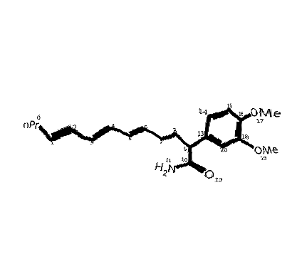 CCC/C=C/C=C/C=C/CCC(C(N)=O)c1ccc(OC)c(OC)c1